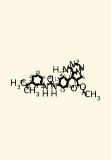 CCOC(=O)c1cn2ncnc(N)c2c1-c1ccc(NC(=O)Nc2cccc(C(C)C)c2)cc1